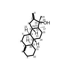 C=C1C[C@H]2[C@@H]3CCC4=CCCC[C@@H]4[C@H]3CC[C@]2(C)[C@@]1(C)O